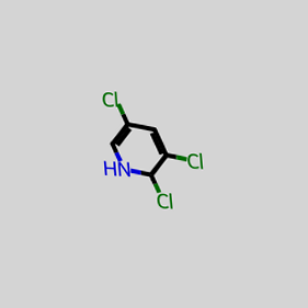 Cl[C]1NC=C(Cl)C=C1Cl